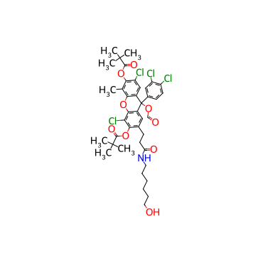 Cc1c(OC(=O)C(C)(C)C)c(Cl)cc2c1Oc1c(cc(CCC(=O)NCCCCCCO)c(OC(=O)C(C)(C)C)c1Cl)C2(OC=O)c1ccc(Cl)c(Cl)c1